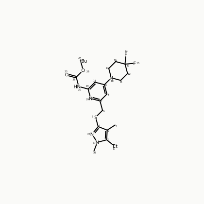 CCc1c(C)c(SCc2cc(N3CCC(F)(F)CC3)cc(NC(=O)OC(C)(C)C)n2)nn1C